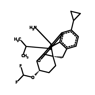 CC(C)N1C(=O)C2(N=C1N)c1cc(C3CC3)ccc1C[C@]21CC[C@@H](OC(F)F)CC1